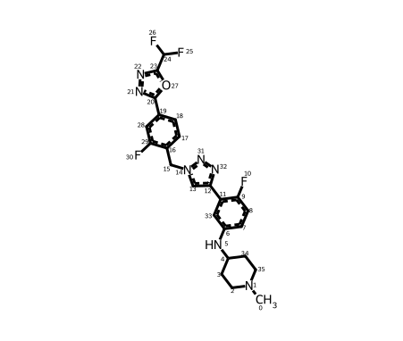 CN1CCC(Nc2ccc(F)c(-c3cn(Cc4ccc(-c5nnc(C(F)F)o5)cc4F)nn3)c2)CC1